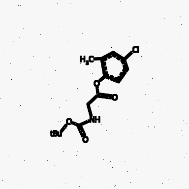 Cc1cc(Cl)ccc1OC(=O)CNC(=O)OC(C)(C)C